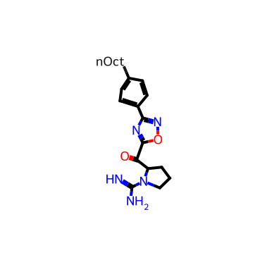 CCCCCCCCc1ccc(-c2noc(C(=O)C3CCCN3C(=N)N)n2)cc1